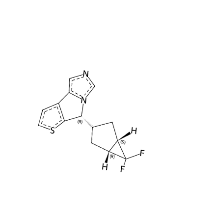 FC1(F)[C@@H]2CC([C@@H]3c4sccc4-c4cncn43)C[C@@H]21